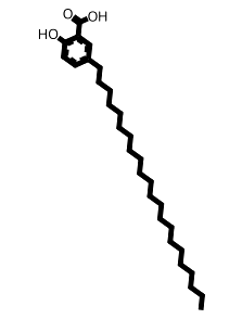 CCCCCCCCCCCCCCCCCCCCCCc1ccc(O)c(C(=O)O)c1